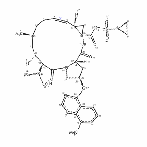 CC[C@@H]1C[C@@H](C)CC/C=C\[C@@H]2C[C@@]2(C(=O)NS(=O)(=O)C2CC2)NC(=O)[C@@H]2C[C@@H](Oc3nccc4c(OC)cccc34)CN2C(=O)[C@H]1N(C(=O)O)C(C)(C)C